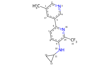 Cc1cncc(-c2ccc(NC3CC3)c(C(F)(F)F)n2)c1